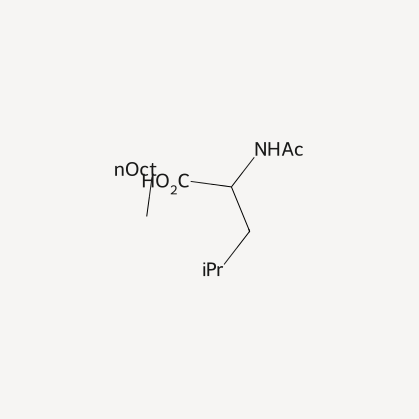 CC(=O)NC(CC(C)C)C(=O)O.CCCCCCCCC